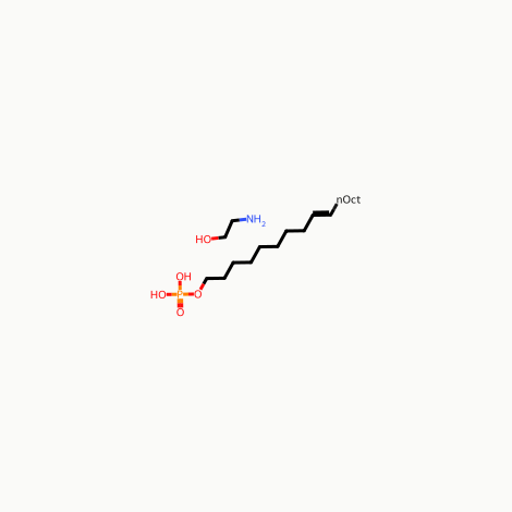 CCCCCCCCC=CCCCCCCCCOP(=O)(O)O.NCCO